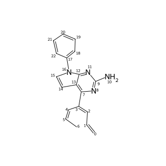 C=C/C=C(\C=C/C)c1nc(N)nc2c1ccn2-c1ccccc1